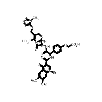 CCn1cc(C(=O)NC(C(=O)N[C@@H]2C(=O)N3C(C(=O)O)=C(CSc4nnnn4C)CS[C@H]23)c2ccc(OCC(=O)O)cc2)c(=O)c2cc(OC(C)=O)c(OC(C)=O)cc21